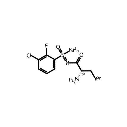 CC(C)C[C@H](N)C(=O)N=S(N)(=O)c1cccc(Cl)c1F